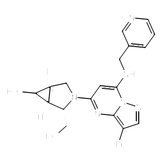 CC1[C@H]2[C@@H]1CN(c1cc(NCc3cccnc3)n3ncc(Br)c3n1)[C@@H]2CO